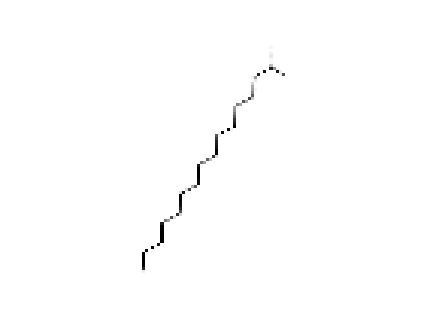 CCCCCCCCCCCCCCC(N)F